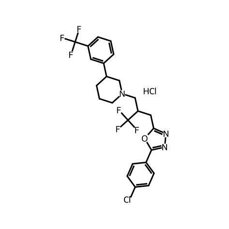 Cl.FC(F)(F)c1cccc(C2CCCN(CC(Cc3nnc(-c4ccc(Cl)cc4)o3)C(F)(F)F)C2)c1